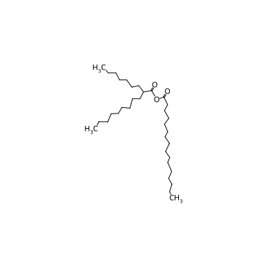 CCCCCCCCCCCCCCCC(=O)OC(=O)C(CCCCCCC)CCCCCCCCC